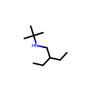 CCC(CC)CNC(C)(C)C